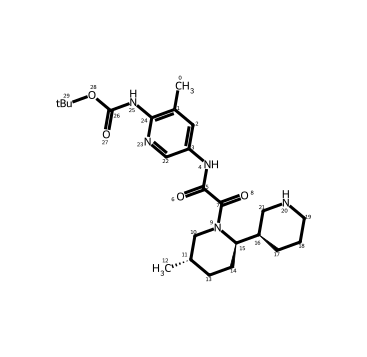 Cc1cc(NC(=O)C(=O)N2C[C@@H](C)CC[C@@H]2[C@@H]2CCCNC2)cnc1NC(=O)OC(C)(C)C